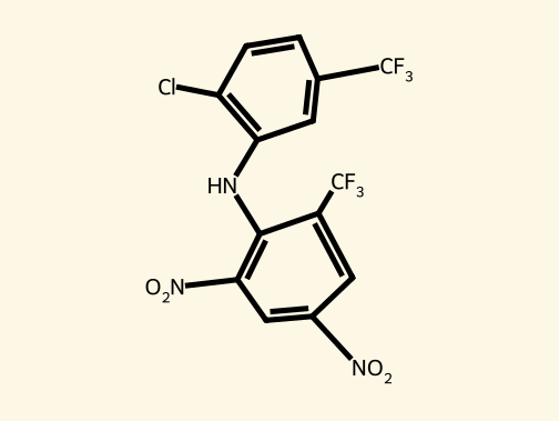 O=[N+]([O-])c1cc([N+](=O)[O-])c(Nc2cc(C(F)(F)F)ccc2Cl)c(C(F)(F)F)c1